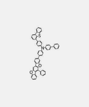 c1ccc(-c2ccc(N(c3ccc(-c4ccc5c(c4)oc4c(-c6ccccc6)c6c(cc45)oc4ccccc46)cc3)c3ccc(-c4cccc5c4sc4ccccc45)cc3)cc2)cc1